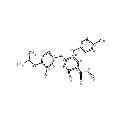 CC(C)Oc1ccc(Nc2nc(=O)c(C(=O)N=O)cn2Cc2ccc(Cl)cc2)cc1Cl